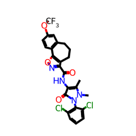 Cc1c(NC(=O)c2noc3c2CCCc2cc(OC(F)(F)F)ccc2-3)c(=O)n(-c2c(Cl)cccc2Cl)n1C